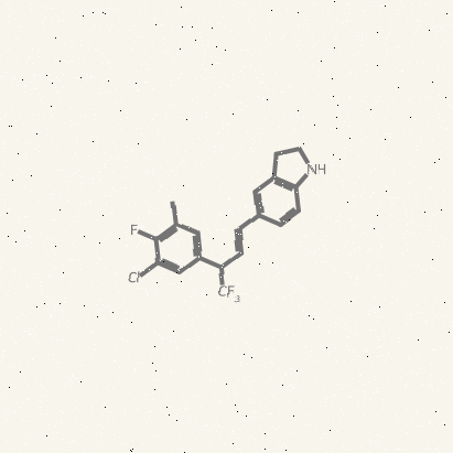 Cc1cc(C(/C=C/c2ccc3c(c2)CCN3)C(F)(F)F)cc(Cl)c1F